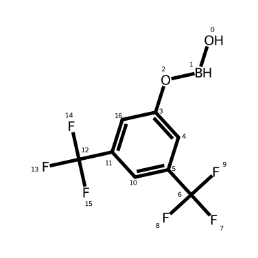 OBOc1cc(C(F)(F)F)cc(C(F)(F)F)c1